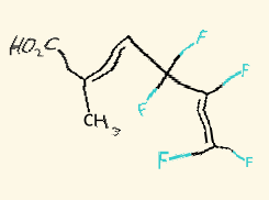 CC(=CC(F)(F)C(F)=C(F)F)C(=O)O